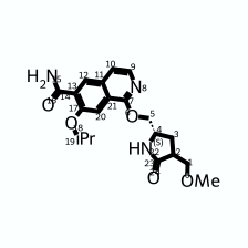 COCC1C[C@@H](COc2nccc3cc(C(N)=O)c(OC(C)C)cc23)NC1=O